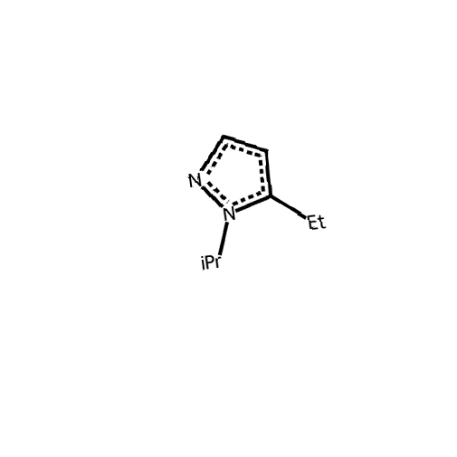 [CH2]Cc1ccnn1C(C)C